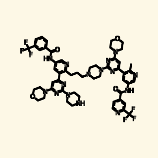 Cc1ncc(NC(=O)c2ccnc(C(F)(F)F)c2)cc1-c1cc(N2CCOCC2)nc(N2CCN(CCCc3ncc(NC(=O)c4cccc(C(F)(F)F)c4)cc3-c3cc(N4CCOCC4)nc(N4CCNCC4)n3)CC2)n1